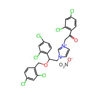 O=C(C[n+]1ccn(CC(OCc2ccc(Cl)cc2Cl)c2ccc(Cl)cc2Cl)c1)c1ccc(Cl)cc1Cl.O=[N+]([O-])[O-]